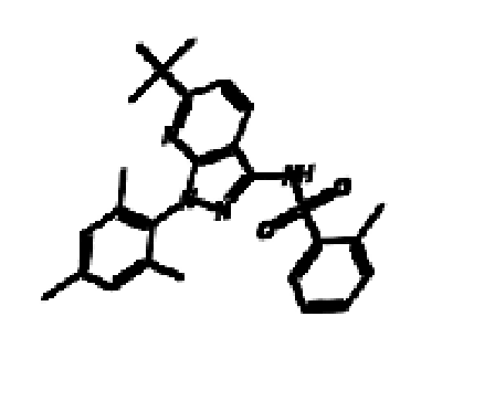 Cc1cc(C)c(-n2nc(NS(=O)(=O)c3ccccc3C)c3ccc(C(C)(C)C)nc32)c(C)c1